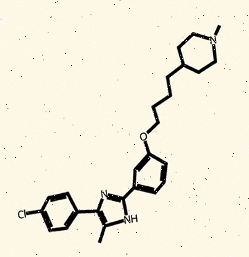 Cc1[nH]c(-c2cccc(OCCCCC3CCN(C)CC3)c2)nc1-c1ccc(Cl)cc1